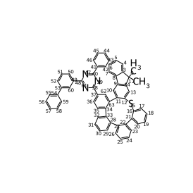 CC1(C)c2ccccc2-c2cc3c(cc21)Sc1ccccc1-c1ccccc1-c1ccccc1-c1ccc(-c2nc(-c4ccccc4)nc(-c4cccc(-c5ccccc5)c4)n2)cc1-3